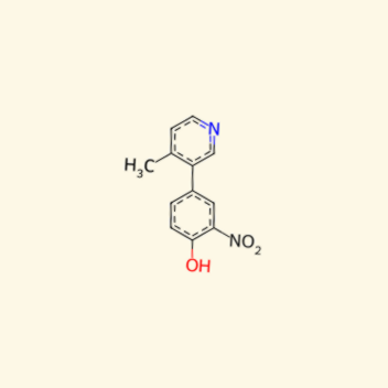 Cc1ccncc1-c1ccc(O)c([N+](=O)[O-])c1